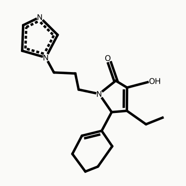 CCC1=C(O)C(=O)N(CCCn2ccnc2)C1C1=CCCCC1